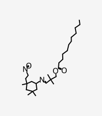 CCCCCCCCCCCC(=O)OCC(C)(C)C=NC1CC(C)(C)CC(C)(CCN=O)C1